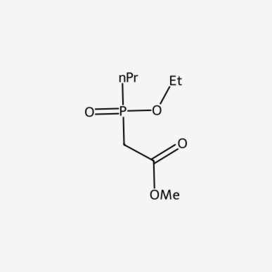 CCCP(=O)(CC(=O)OC)OCC